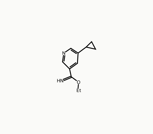 CCOC(=N)c1cncc(C2CC2)c1